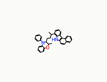 CC(CCC1C(C)Oc2ccccc2N1c1ccccc1)c1cccc2c1[nH]c1ccc3ccccc3c12